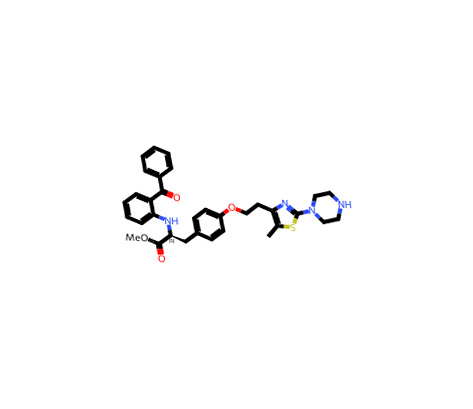 COC(=O)[C@H](Cc1ccc(OCCc2nc(N3CCNCC3)sc2C)cc1)Nc1ccccc1C(=O)c1ccccc1